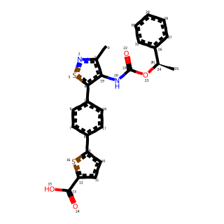 Cc1nsc(-c2ccc(-c3ccc(C(=O)O)s3)cc2)c1NC(=O)O[C@H](C)c1ccccc1